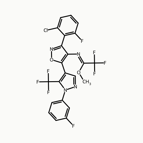 CO/C(=N\c1c(-c2c(F)cccc2Cl)noc1-c1cnn(-c2cccc(F)c2)c1C(F)(F)F)C(F)(F)F